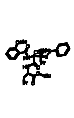 COc1ccccc1C(=O)NC(C(=O)O)(C(=O)NC(CC(C)C)C(=O)OC(C)(C)C)C(OC)(SSc1ccccc1)C(C)C